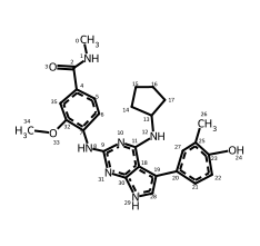 CNC(=O)c1ccc(Nc2nc(NC3CCCC3)c3c(-c4ccc(O)c(C)c4)c[nH]c3n2)c(OC)c1